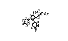 CC(=O)OOC(C)Oc1nn(-c2cnccn2)c(-c2ccc(F)nc2)c1Cl